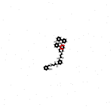 O=C(CCNCc1ccccc1O)Nc1cccc(NC(=O)CCN2CCC(OC(=O)N(c3ccccc3-c3ccccc3)N(C(=O)O)c3ccccc3-c3ccccc3)CC2)c1